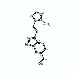 Cc1ncsc1/C=C/c1n[nH]c2cc(C=O)ccc12